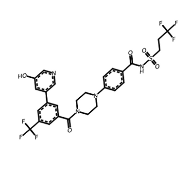 O=C(NS(=O)(=O)CCC(F)(F)F)c1ccc(N2CCN(C(=O)c3cc(-c4cncc(O)c4)cc(C(F)(F)F)c3)CC2)cc1